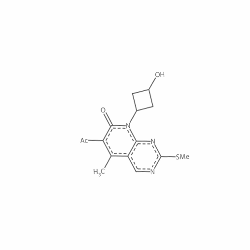 CSc1ncc2c(C)c(C(C)=O)c(=O)n(C3CC(O)C3)c2n1